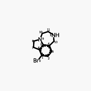 Brc1ccc2c3c1CCN3CCNC2